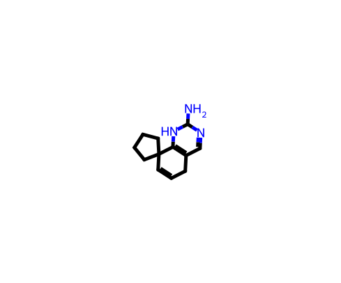 NC1N=CC2=C(N1)C1(C=CC2)CCCC1